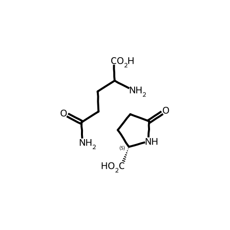 NC(=O)CCC(N)C(=O)O.O=C1CC[C@@H](C(=O)O)N1